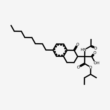 CCCCCCCCc1ccc2c(c1)CCC(C(NC(C)=O)(C(=O)O)C(=O)OC(C)CC)C2=O